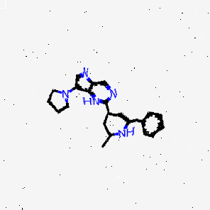 CC1CC(c2ncc3ncc(N4CCCC4)c-3[nH]2)CC(c2ccccc2)N1